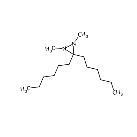 CCCCCCC1(CCCCCC)N(C)N1C